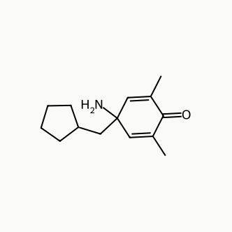 CC1=CC(N)(CC2CCCC2)C=C(C)C1=O